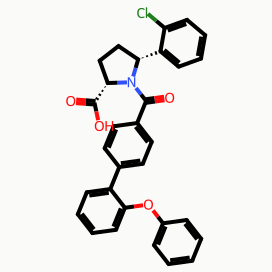 O=C(O)[C@@H]1CC[C@H](c2ccccc2Cl)N1C(=O)c1ccc(-c2ccccc2Oc2ccccc2)cc1